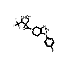 CC(C(F)(F)F)C1(CO)OC1N1CCc2c(nnn2-c2ccc(F)cc2)C1